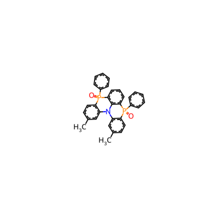 Cc1ccc2c(c1)N1c3cc(C)ccc3P(=O)(c3ccccc3)c3cccc(c31)P2(=O)c1ccccc1